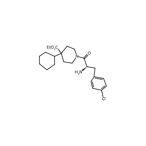 CCOC(=O)C1(C2CCCCC2)CCN(C(=O)[C@H](N)Cc2ccc(Cl)cc2)CC1